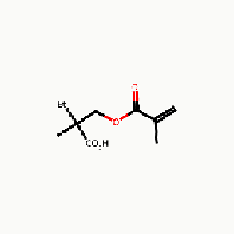 C=C(C)C(=O)OCC(C)(CC)C(=O)O